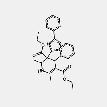 CCOC(=O)C1=C(C)NC(C)C(C(=O)OCC)(c2nc(-c3ccccc3)cs2)C1c1ccccc1